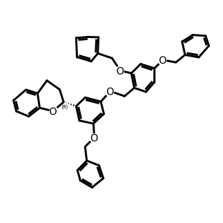 c1ccc(COc2cc(OCc3ccc(OCc4ccccc4)cc3OCc3ccccc3)cc([C@H]3CCc4ccccc4O3)c2)cc1